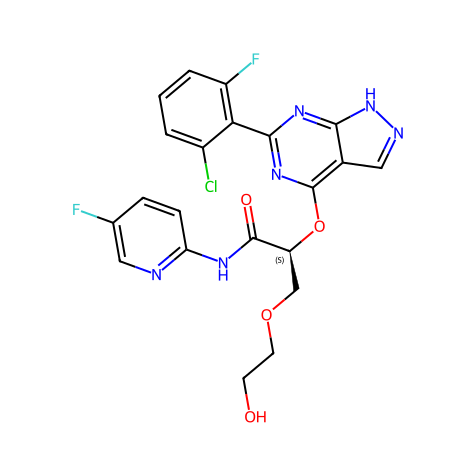 O=C(Nc1ccc(F)cn1)[C@H](COCCO)Oc1nc(-c2c(F)cccc2Cl)nc2[nH]ncc12